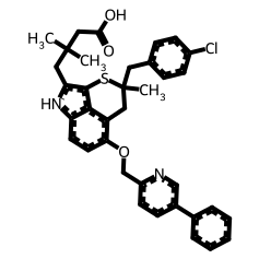 CC(C)(CC(=O)O)Cc1[nH]c2ccc(OCc3ccc(-c4ccccc4)cn3)c3c2c1SC(C)(Cc1ccc(Cl)cc1)C3